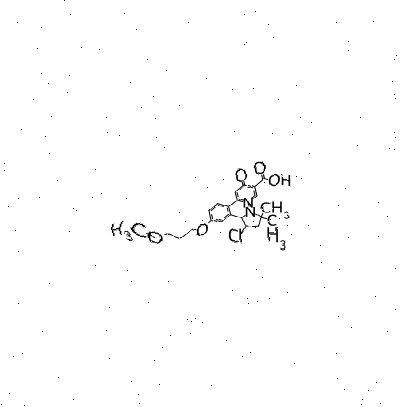 COCCCOc1ccc2c(c1)C1C(Cl)CC(C)(C)N1n1cc(C(=O)O)c(=O)cc1-2